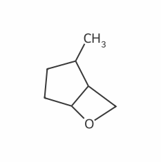 CC1CCC2OCC12